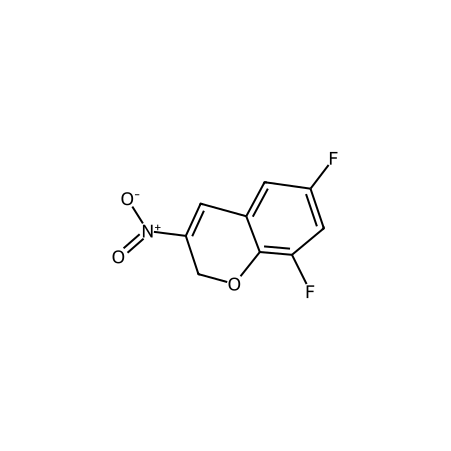 O=[N+]([O-])C1=Cc2cc(F)cc(F)c2OC1